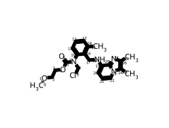 COCCOC(=O)N(CCl)c1cccc(C)c1CNc1cccn2c(C)c(C)nc12